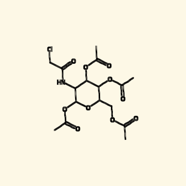 CC(=O)OCC1OC(OC(C)=O)C(NC(=O)CCl)C(OC(C)=O)C1OC(C)=O